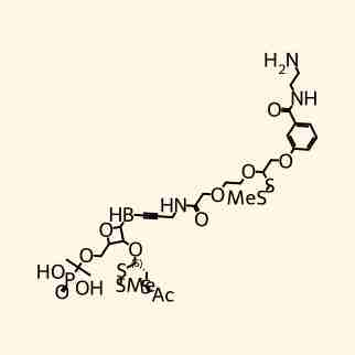 CSSC(COc1cccc(C(=O)NCCN)c1)OCCOCC(=O)NCC#CBC1OC(COC(C)(C)P(=O)(O)O)C1O[C@H](CSC(C)=O)SSC